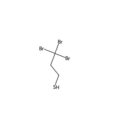 SCCC(Br)(Br)Br